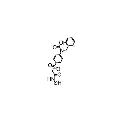 O=C(CS(=O)(=O)c1ccc(N(Cc2ccccc2)C(=O)O)cc1)NO